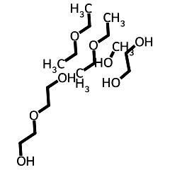 CCOCC.CCOCC.CO.OCCO.OCCOCCO